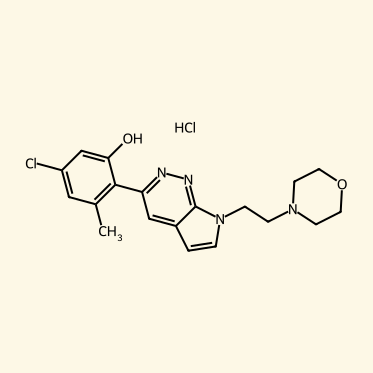 Cc1cc(Cl)cc(O)c1-c1cc2ccn(CCN3CCOCC3)c2nn1.Cl